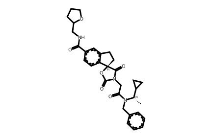 C[C@@H](C1CC1)N(Cc1ccccc1)C(=O)CN1C(=O)O[C@@]2(CCc3cc(C(=O)NCC4CCCO4)ccc32)C1=O